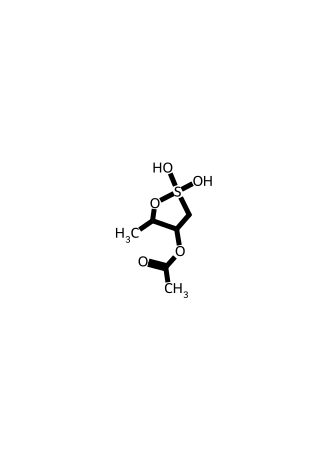 CC(=O)OC1CS(O)(O)OC1C